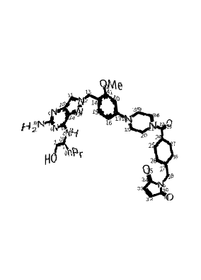 CCC[C@@H](CO)Nc1nc(N)nc2cn(Cc3ccc(N4CCN(C(=O)C5CCC(CN6C(=O)C=CC6=O)CC5)CC4)cc3OC)nc12